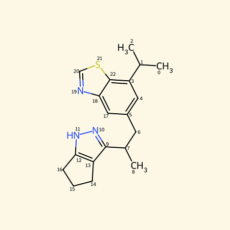 CC(C)c1cc(CC(C)c2n[nH]c3c2CCC3)cc2ncsc12